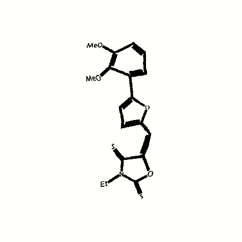 CCN1C(=S)O/C(=C/c2ccc(-c3cccc(OC)c3OC)o2)C1=S